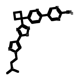 CN(C)CCn1cc(-c2nc(C3(c4ccc(-c5cnc(N)nc5)nc4)CCC3)no2)cn1